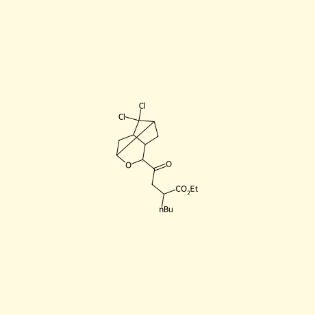 [CH2]CCCC(CC(=O)[C]1OC2CC3C1CC2C3(Cl)Cl)C(=O)OCC